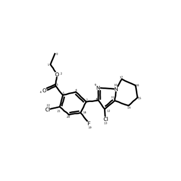 CCOC(=O)c1cc(-c2nn3c(c2Cl)CCCC3)c(F)cc1Cl